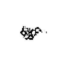 CC1CCCC2CSC3CCC(CCl)C(C)[C@@]3(C)N(CCCN3CCN(C)CC3)C12C